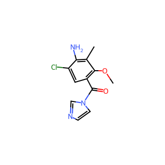 COc1c(C(=O)n2ccnc2)cc(Cl)c(N)c1C